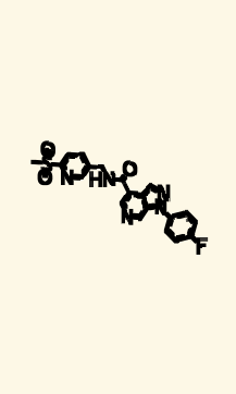 CS(=O)(=O)c1ccc(CNC(=O)c2cncc3c2cnn3-c2ccc(F)cc2)cn1